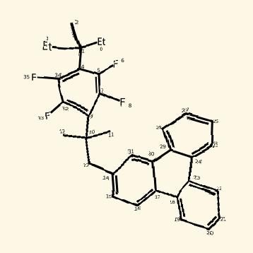 CCC(C)(CC)c1c(F)c(F)c(C(C)(C)Cc2ccc3c4ccccc4c4ccccc4c3c2)c(F)c1F